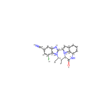 CCC1C(=O)Nc2cccc3cc(-c4nc5cc(C#N)cc(F)c5n4CC)n1c23